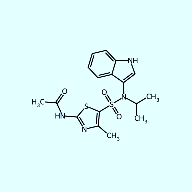 CC(=O)Nc1nc(C)c(S(=O)(=O)N(c2c[nH]c3ccccc23)C(C)C)s1